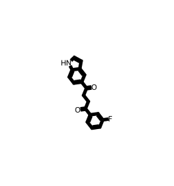 O=C(CCC(=O)c1ccc2[nH]ccc2c1)c1cccc(F)c1